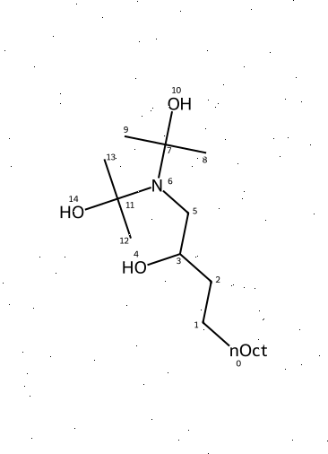 CCCCCCCCCCC(O)CN(C(C)(C)O)C(C)(C)O